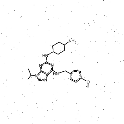 COc1ccc(CNc2nc(NC3CCC(N)CC3)nc3c2ncn3C(C)C)cc1